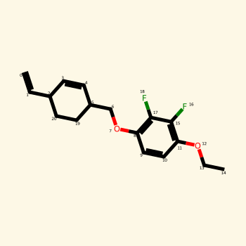 C=CC1C=CC(COc2ccc(OCC)c(F)c2F)CC1